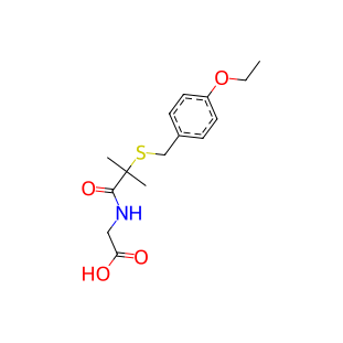 CCOc1ccc(CSC(C)(C)C(=O)NCC(=O)O)cc1